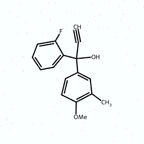 C#CC(O)(c1ccc(OC)c(C)c1)c1ccccc1F